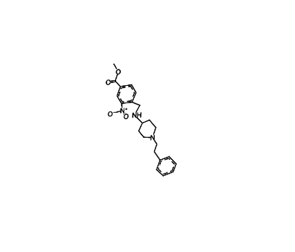 COC(=O)c1ccc(CNC2CCN(CCc3ccccc3)CC2)c([N+](=O)[O-])c1